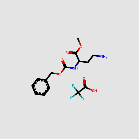 COC(=O)C(CCN)NC(=O)OCc1ccccc1.O=C(O)C(F)(F)F